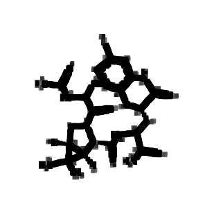 CC(C)(C)C(NC(=O)C(F)(F)F)C(=O)N1C[C@H]2[C@@H]([C@H]1C(=O)NC(C[C@@H]1Oc3ccc(F)cc3NC1=O)C(N)=O)C2(C)C